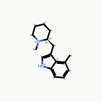 Cc1cccc2[nH]cc(C[C@@H]3CCCCN3C)c12